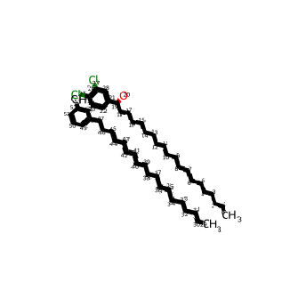 CCCCCCCCCCCCCCCCCCCC(=O)c1ccc(Cl)c(Cl)c1.CCCCCCCCCCCCCCCCCCCc1cccc(C)c1